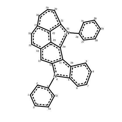 c1ccc(-n2c3ccccc3c3c2cc2ccc4cccc5c4c2c3n5-c2ccccc2)cc1